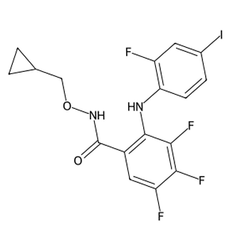 O=C(NOCC1CC1)c1cc(F)c(F)c(F)c1Nc1ccc(I)cc1F